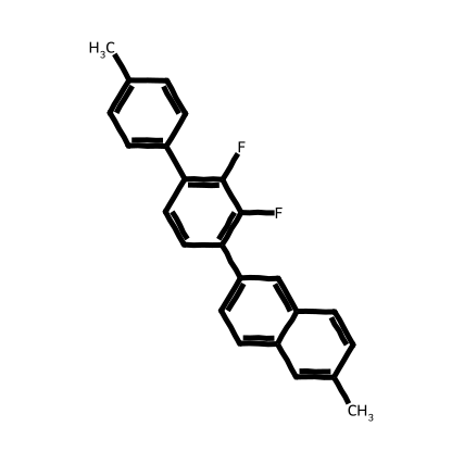 Cc1ccc(-c2ccc(-c3ccc4cc(C)ccc4c3)c(F)c2F)cc1